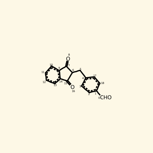 O=Cc1ccc(CC2C(=O)c3ccccc3C2=O)cc1